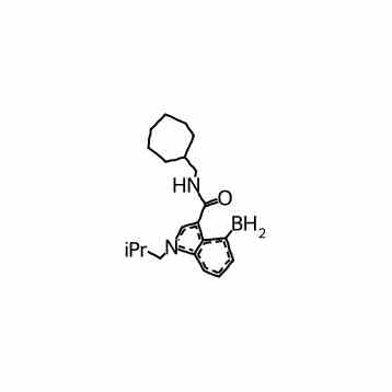 Bc1cccc2c1c(C(=O)NCC1CCCCCC1)cn2CC(C)C